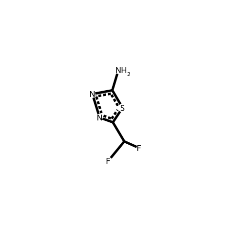 Nc1nnc(C(F)F)s1